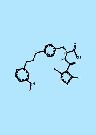 CNc1cccc(CCOc2ccc(C[C@H](NC(=O)c3c(C)noc3C)C(=O)O)cc2)n1